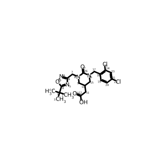 CC(C)(C)c1nc(CN2CC(CC(=O)O)CN(Cc3ccc(Cl)cc3Cl)C2=O)no1